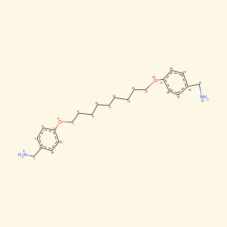 NCc1ccc(OCCCCCCCCCOc2ccc(CN)cc2)cc1